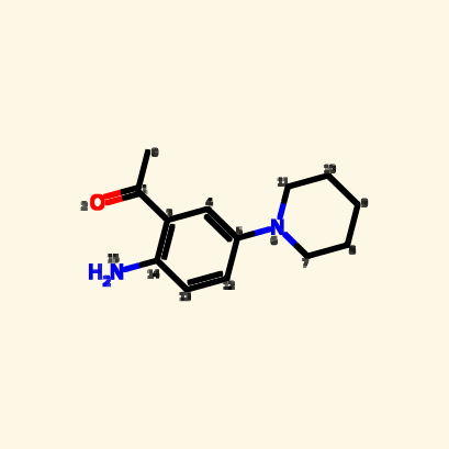 CC(=O)c1cc(N2CCCCC2)ccc1N